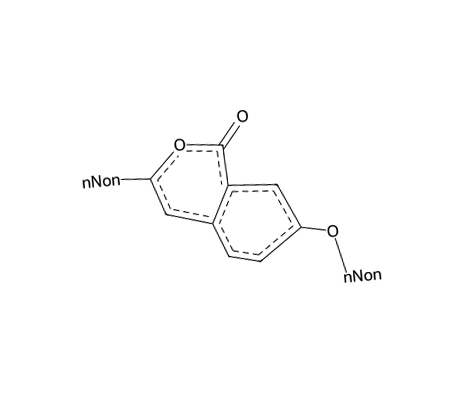 CCCCCCCCCOc1ccc2cc(CCCCCCCCC)oc(=O)c2c1